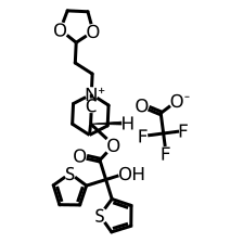 O=C(O[C@H]1C[N+]2(CCC3OCCO3)CCC1CC2)C(O)(c1cccs1)c1cccs1.O=C([O-])C(F)(F)F